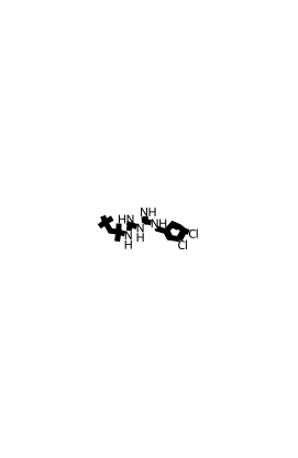 CC(C)(C)CC(C)(C)NC(=N)NC(=N)NCc1ccc(Cl)c(Cl)c1